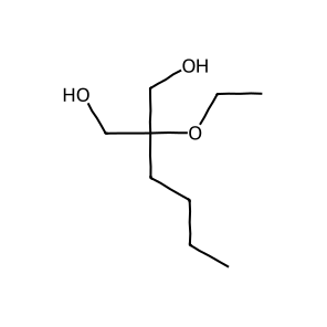 CCCCC(CO)(CO)OCC